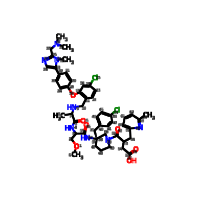 COCC(NC(=O)C(C)NCc1ccc(Cl)cc1Oc1ccc(-c2cnc(CN(C)C)n2C)cc1)C(=O)N[C@@]1(Cc2ccc(Cl)cc2)CCCN(C(=O)C(CC(=O)O)Cc2cccc(C)n2)C1